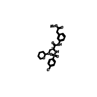 COC(=O)Cc1cccc(NC(=O)[C@H](COC2CCCCO2)NS(=O)(=O)c2ccc(Cl)cc2)c1